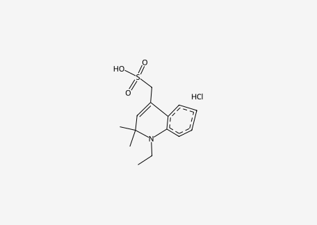 CCN1c2ccccc2C(CS(=O)(=O)O)=CC1(C)C.Cl